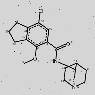 COc1c(C(=O)NC2CN3CCC2CC3)cc(Cl)c2c1CCC2